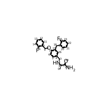 C[C@@H](NCc1ccc(OCc2ccccc2F)c(Cc2ccccc2F)c1)C(N)=O